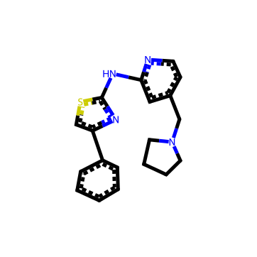 c1ccc(-c2csc(Nc3cc(CN4CCCC4)ccn3)n2)cc1